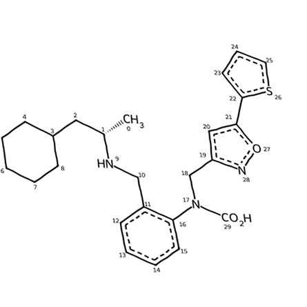 C[C@@H](CC1CCCCC1)NCc1ccccc1N(Cc1cc(-c2cccs2)on1)C(=O)O